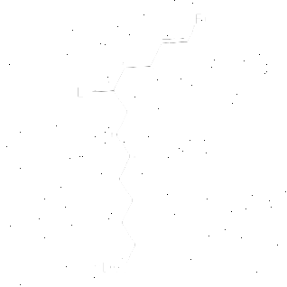 [CH2]C/C=C/CCC(CC)CCCCCCCCCCCCCCCC[CH2]